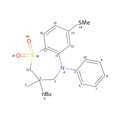 CCCCC1(C)CN(c2ccccc2)c2cc(SC)ccc2S(=O)(=O)C1